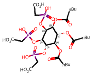 CCCCC(=O)O[C@@H]1[C@@H](OC(=O)CCCC)[C@H](OP(=O)(O)CC(=O)O)[C@@H](OP(=O)(O)CC(=O)O)[C@@H](OP(=O)(O)CC(=O)O)[C@H]1OC(=O)CCCC